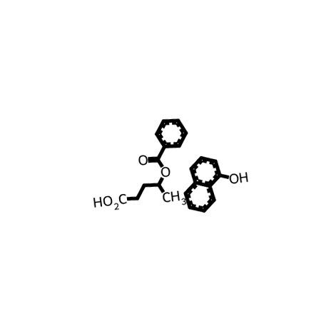 CC(CCC(=O)O)OC(=O)c1ccccc1.Oc1cccc2ccccc12